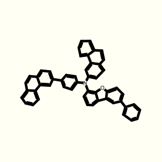 c1ccc(-c2ccc3oc4c(N(c5ccc(-c6ccc7ccc8ccccc8c7c6)cc5)c5ccc6ccc7ccccc7c6c5)cccc4c3c2)cc1